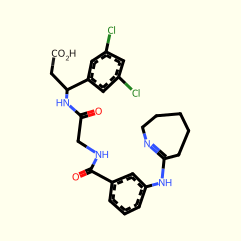 O=C(O)CC(NC(=O)CNC(=O)c1cccc(NC2=NCCCCC2)c1)c1cc(Cl)cc(Cl)c1